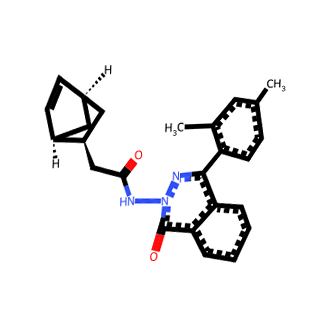 Cc1ccc(-c2nn(NC(=O)C[C@@H]3C[C@@H]4C=C[C@H]3C4)c(=O)c3ccccc23)c(C)c1